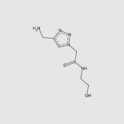 NCc1cn(CC(=O)NCCO)nn1